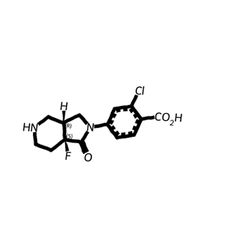 O=C(O)c1ccc(N2C[C@H]3CNCC[C@@]3(F)C2=O)cc1Cl